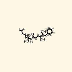 CC(C)CCCC(O)(O)NC(=O)CCC(O)[C@@H](O)Cc1ccccc1